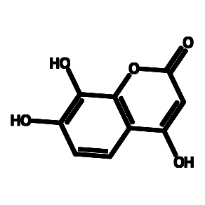 O=c1cc(O)c2ccc(O)c(O)c2o1